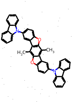 Cc1c2oc3ccc(-n4c5ccccc5c5ccccc54)cc3c2c(C)c2oc3ccc(-n4c5ccccc5c5ccccc54)cc3c12